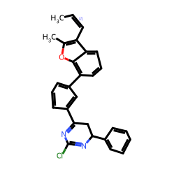 C/C=C\c1c(C)oc2c(-c3cccc(C4=NC(Cl)=NC(c5ccccc5)C4)c3)cccc12